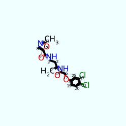 C=C(CCNC(=O)c1cnc(C)o1)NC(=O)COc1ccc(Cl)c(Cl)c1